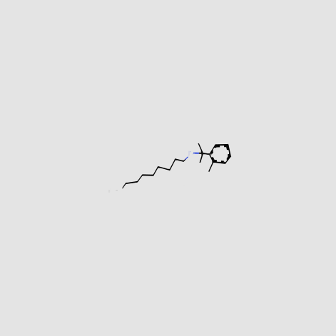 CCCCCCCCCCCCCCCCCCNC(C)(C)c1ccccc1C.Cl